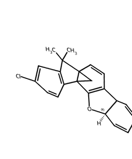 CC1(C)c2cc(Cl)ccc2C23CC12C=CC1=C3O[C@@H]2C=CC=CC12